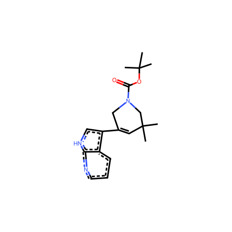 CC1(C)C=C(c2c[nH]c3ncccc23)CN(C(=O)OC(C)(C)C)C1